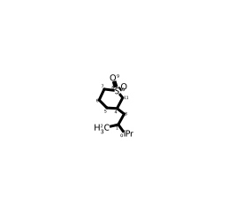 CC(C)C(C)CC1CCCS(=O)(=O)C1